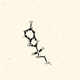 CCNS(=O)(=O)c1nc2cc(Cl)ccc2[nH]1